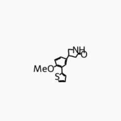 COc1ccc(C2CNC(=O)C2)cc1-c1cccs1